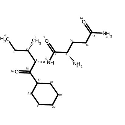 CC[C@H](C)[C@H](NC(=O)[C@@H](N)CCC(N)=O)C(=O)C1CCCCC1